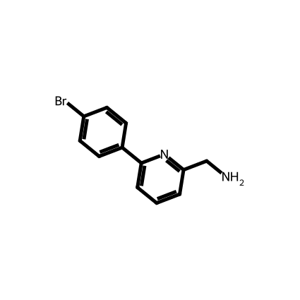 NCc1cccc(-c2ccc(Br)cc2)n1